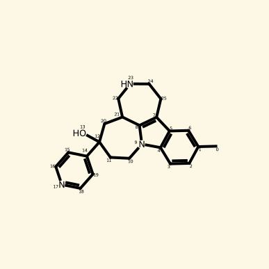 Cc1ccc2c(c1)c1c3n2CCC(O)(c2ccncc2)CC3CNCC1